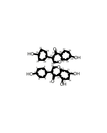 O=c1c(-c2ccc(O)cc2)coc2cc(O)cc(O)c12.O=c1c(-c2ccc(O)cc2)coc2cc(O)ccc12